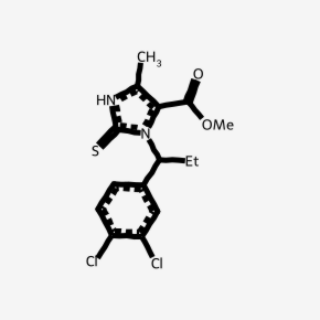 CCC(c1ccc(Cl)c(Cl)c1)n1c(C(=O)OC)c(C)[nH]c1=S